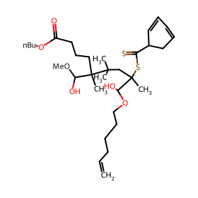 C=CCCCCOC(O)C(C)(CC(C)(C)C(C)(CCCC(=O)OCCCC)C(O)OC)SC(=S)C1C=CC=CC1